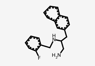 NCC(Cc1ccc2ccccc2c1)NCc1ccccc1F